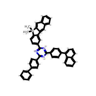 C[Si]1(C)c2ccc(-c3nc(-c4ccc(-c5ccccc5)cc4)nc(-c4ccc(-c5cccc6ccccc56)cc4)n3)cc2-c2cc3ccccc3cc21